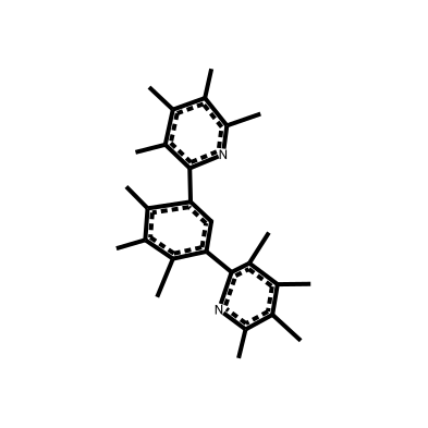 Cc1nc(-c2cc(-c3nc(C)c(C)c(C)c3C)c(C)c(C)c2C)c(C)c(C)c1C